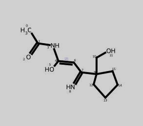 CC(=O)N/C(O)=C/C(=N)C1(CO)CCCC1